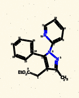 CCOC(=O)Cc1c(C)nn(-c2ccccn2)c1-c1ccccc1